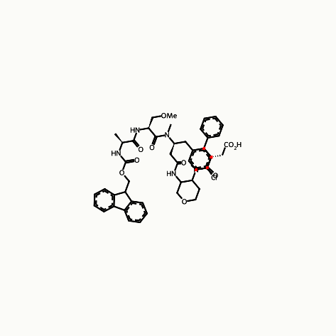 COC[C@H](NC(=O)[C@H](C)NC(=O)OCC1c2ccccc2-c2ccccc21)C(=O)N(C)[C@H](CC(=O)NC1COCCC1N(C)C(=O)[C@@H](CC(=O)O)Cc1ccccc1)Cc1ccc(Cl)cc1